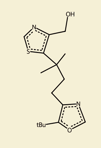 CC(C)(C)c1ocnc1CCC(C)(C)c1scnc1CO